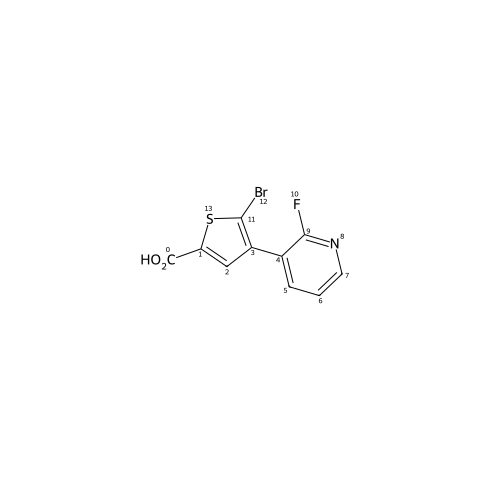 O=C(O)c1cc(-c2cccnc2F)c(Br)s1